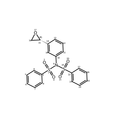 O=S(=O)(c1ccccc1)N(c1cccc([C@@H]2CO2)c1)S(=O)(=O)c1ccccc1